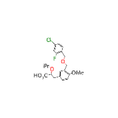 COc1ccc(CC(OC(C)C)C(=O)O)cc1COCc1ccc(Cl)cc1F